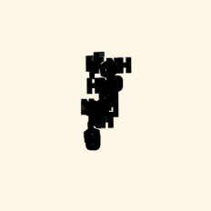 O=C(Nc1cc(-c2cncc(NCC3CCOCC3)n2)c(Cl)cn1)[C@@H]1CNC[C@H](C(F)(F)F)C1